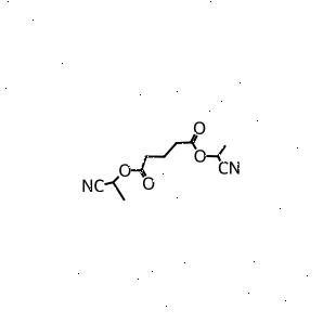 CC(C#N)OC(=O)CCCC(=O)OC(C)C#N